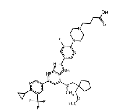 COCC1(CN(C)c2cc(-c3cnc(C4CC4)c(C(F)(F)F)c3)nc3nc(-c4cnc(N5CCN(CCCC(=O)O)CC5)c(F)c4)[nH]c23)CCCC1